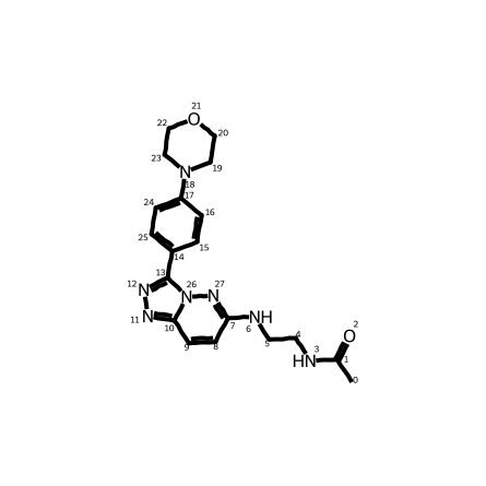 CC(=O)NCCNc1ccc2nnc(-c3ccc(N4CCOCC4)cc3)n2n1